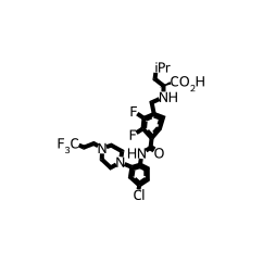 CC(C)C[C@H](NCc1ccc(C(=O)Nc2ccc(Cl)cc2N2CCN(CCC(F)(F)F)CC2)c(F)c1F)C(=O)O